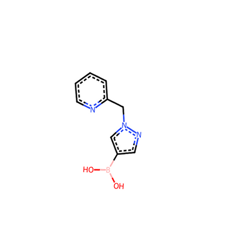 OB(O)c1cnn(Cc2ccccn2)c1